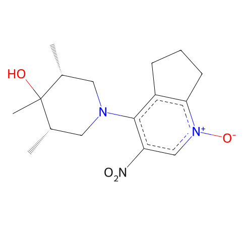 C[C@@H]1CN(c2c([N+](=O)[O-])c[n+]([O-])c3c2CCC3)C[C@H](C)C1(C)O